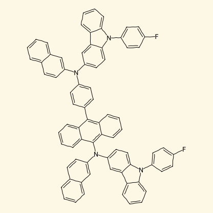 Fc1ccc(-n2c3ccccc3c3cc(N(c4ccc(-c5c6ccccc6c(N(c6ccc7ccccc7c6)c6ccc7c(c6)c6ccccc6n7-c6ccc(F)cc6)c6ccccc56)cc4)c4ccc5ccccc5c4)ccc32)cc1